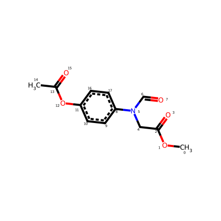 COC(=O)CN(C=O)c1ccc(OC(C)=O)cc1